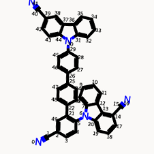 N#Cc1ccc(-n2c3ccccc3c3c(C#N)cccc32)c(-c2ccc(-c3ccc(-n4c5ccccc5c5cc(C#N)ccc54)cc3)cc2)c1